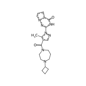 Cc1c(C(=O)N2CCCN(C3CCC3)CC2)cnn1-c1nn2cccc2c(=O)[nH]1